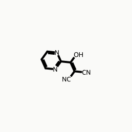 N#CC(C#N)=C(O)c1ncccn1